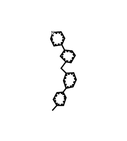 Cc1ccc(-c2cccc(Cc3cccc(-c4ccncc4)c3)c2)cc1